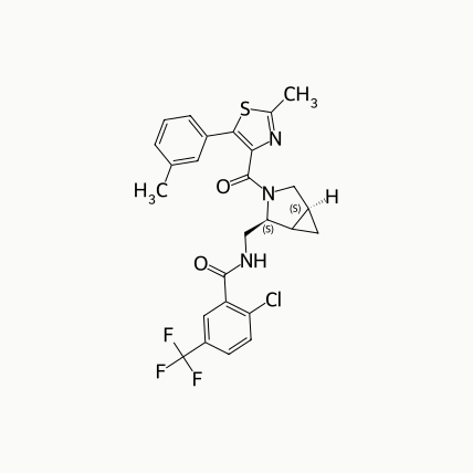 Cc1cccc(-c2sc(C)nc2C(=O)N2C[C@H]3CC3[C@H]2CNC(=O)c2cc(C(F)(F)F)ccc2Cl)c1